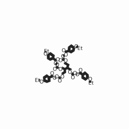 CCOc1ccc(C(=O)OOC(=O)OCCC(COC(=O)OOC(=O)c2ccc(OCC)cc2)C(CCOC(=O)OOC(=O)c2ccc(OCC)cc2)COC(=O)OOC(=O)c2ccc(OCC)cc2)cc1